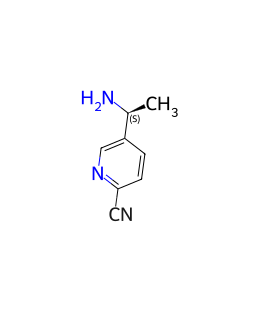 C[C@H](N)c1ccc(C#N)nc1